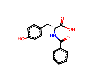 O=C(N[C@H](Cc1ccc(O)cc1)C(=O)O)c1ccccc1